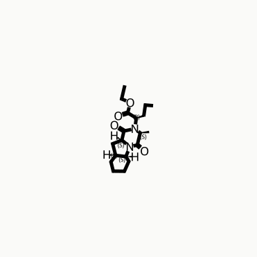 CCC[C@H](C(=O)OCC)N1C(=O)[C@@H]2C[C@@H]3CCCC[C@@H]3N2C(=O)[C@@H]1C